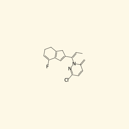 C=C1C=CC(Cl)=NN1/C(=C\C)C1=CC2=C(CCC=C2F)C1